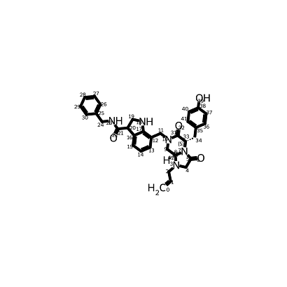 C=CCN1CC(=O)N2[C@@H]1CN(Cc1cccc3c1NCC3C(=O)NCc1ccccc1)C(=O)[C@@H]2Cc1ccc(O)cc1